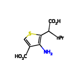 CCCC(C(=O)O)c1scc(C(=O)O)c1N